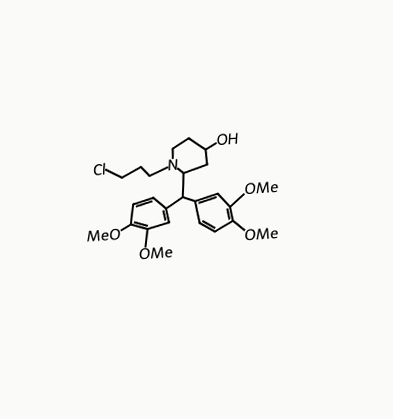 COc1ccc(C(c2ccc(OC)c(OC)c2)C2CC(O)CCN2CCCCl)cc1OC